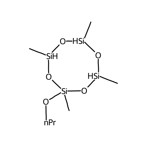 CCCO[Si]1(C)O[SiH](C)O[SiH](C)O[SiH](C)O1